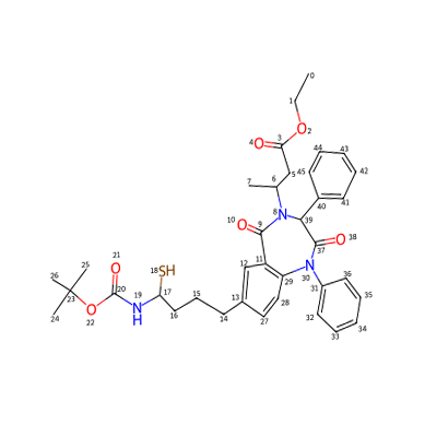 CCOC(=O)CC(C)N1C(=O)c2cc(CCCC(S)NC(=O)OC(C)(C)C)ccc2N(c2ccccc2)C(=O)C1c1ccccc1